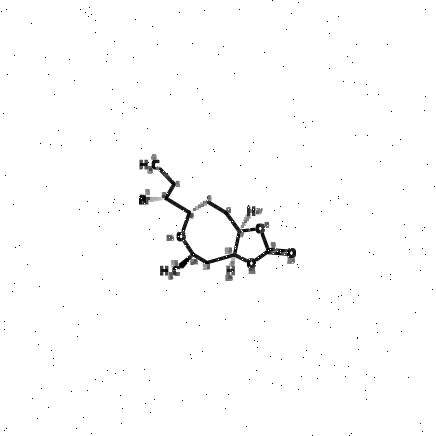 CC[C@@H](Br)[C@@H]1CC[C@H]2OC(=O)O[C@H]2C[C@@H](C)O1